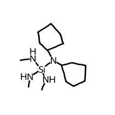 CN[Si](NC)(NC)N(C1CCCCC1)C1CCCCC1